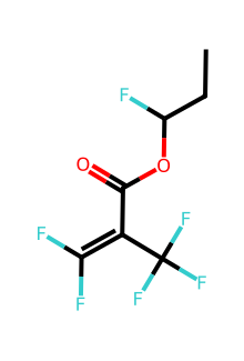 CCC(F)OC(=O)C(=C(F)F)C(F)(F)F